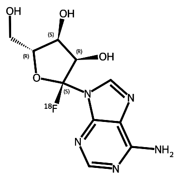 Nc1ncnc2c1ncn2[C@]1([18F])O[C@H](CO)[C@@H](O)[C@H]1O